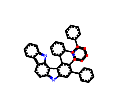 c1ccc(-c2ccccc2-c2ccccc2-c2c3c(cc(-c4ccccc4)c2-c2ccccn2)N=c2ccc4c(c2-3)N=c2ccccc2=4)cc1